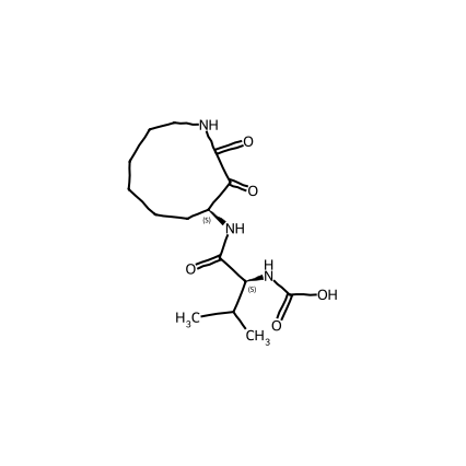 CC(C)[C@H](NC(=O)O)C(=O)N[C@H]1CCCCCCNC(=O)C1=O